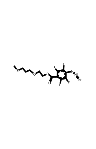 CSCCCOCCOC(=O)c1c(F)c(F)c(N=[N+]=[N-])c(F)c1F